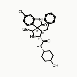 CC(C)(C)C1N[C@@H](C(=O)N[C@H]2CC[C@H](O)CC2)[C@H](Cc2ccccc2)[C@]12C(=O)Nc1cc(Cl)ccc12